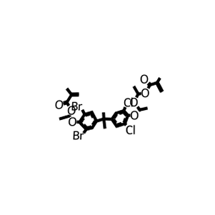 C=C(C)C(=O)OC(C)Oc1c(Br)cc(C(C)(C)c2cc(Cl)c(OC(C)OC(C)OC(=O)C(=C)C)c(Cl)c2)cc1Br